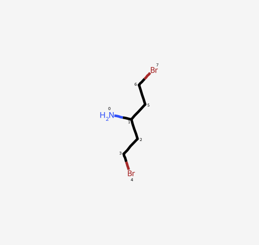 NC(CCBr)CCBr